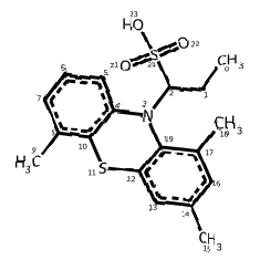 CCC(N1c2cccc(C)c2Sc2cc(C)cc(C)c21)S(=O)(=O)O